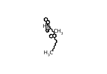 CCCCC/C=C/C=C\CC1C=CC(C(C)CCC(CNC2C=C3C=CCCC3=CC2)C2C=CCN2)=C2C=CCCC21